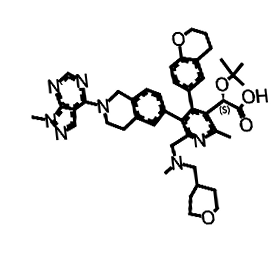 Cc1nc(CN(C)CC2CCOCC2)c(-c2ccc3c(c2)CCN(c2ncnc4c2cnn4C)C3)c(-c2ccc3c(c2)CCCO3)c1[C@H](OC(C)(C)C)C(=O)O